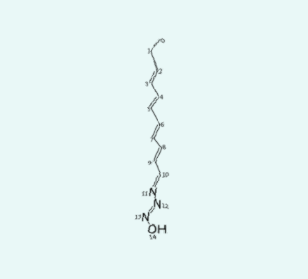 CC/C=C/C=C/C=C/C=C/C=N/N=N/O